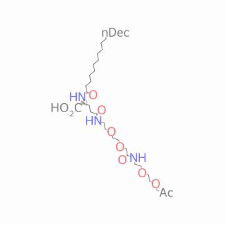 CCCCCCCCCCCCCCCCCCCCC(=O)N[C@@H](CCC(=O)NCCOCCOCC(=O)NCCOCCOCC(C)=O)C(=O)O